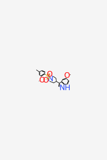 COc1ccc2[nH]cc(C3CCN(S(=O)(=O)c4ccc(C)cc4OC)CC3)c2c1